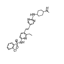 CCc1nc(NS(=O)(=O)c2ccccc2Cl)ccc1/C=C/c1cnc(NC2CCC(NC)CC2)nc1